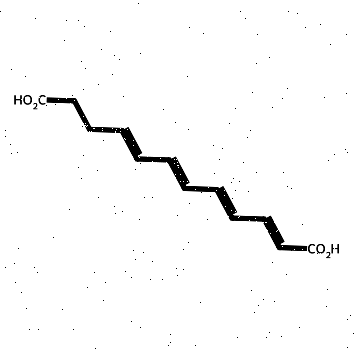 O=C(O)C=CC=CC=CC=CCCC(=O)O